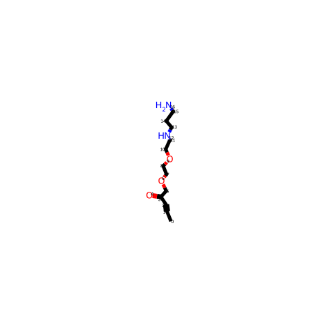 CC#CC(=O)COCCOCCNCCCN